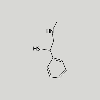 CNCC(S)c1ccccc1